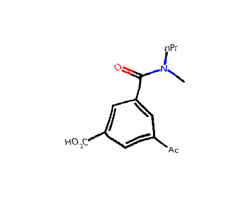 CCCN(C)C(=O)c1cc(C(C)=O)cc(C(=O)O)c1